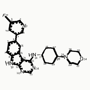 Fc1cncc(-c2ccc3[nH]c4ncnc(N[C@H]5CC[C@H](N6CCOCC6)CC5)c4c3c2)c1